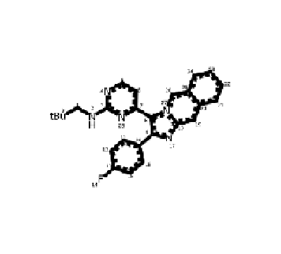 CC(C)(C)CNc1nccc(-c2c(-c3ccc(F)cc3)nc3cc4ccccc4cn23)n1